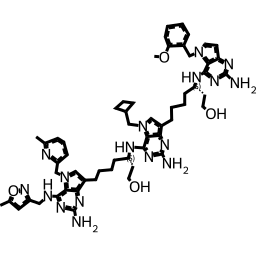 COc1ccccc1Cn1ccc2nc(N)nc(N[C@H](CCO)CCCCc3cn(CC4CCC4)c4c(N[C@H](CCO)CCCCc5cn(Cc6cccc(C)n6)c6c(NCc7cc(C)on7)nc(N)nc56)nc(N)nc34)c21